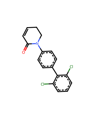 O=C1C=CCCN1c1ccc(-c2c(Cl)cccc2Cl)cc1